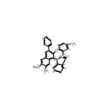 COc1cc2cc(-c3ccccc3)c(C)c(-n3c4ccccc4c[13c]3-c3cccc(C)c3)c2cc1C